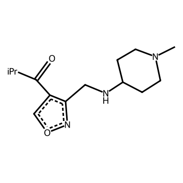 CC(C)C(=O)c1conc1CNC1CCN(C)CC1